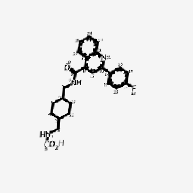 O=C(O)NCC1CCC(CNC(=O)c2cc(-c3ccc(F)cc3)nc3ccccc23)CC1